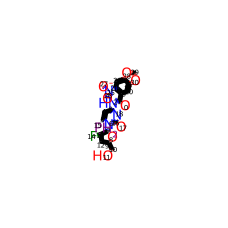 O=C(Nc1ccn(C2OC(CO)CC2(F)P)c(=O)n1)c1cc2c(cc1[N+](=O)[O-])OCO2